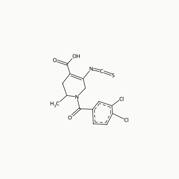 CC1CC(C(=O)O)=C(N=C=S)CN1C(=O)c1ccc(Cl)c(Cl)c1